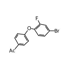 CC(=O)c1ccc(Oc2ccc(Br)cc2F)cc1